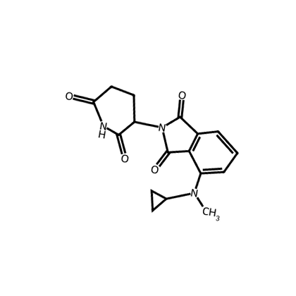 CN(c1cccc2c1C(=O)N(C1CCC(=O)NC1=O)C2=O)C1CC1